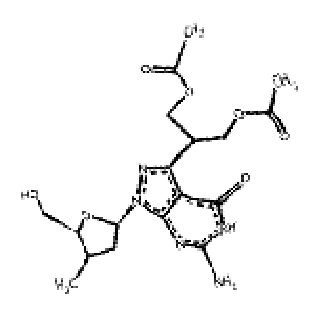 CC(=O)OCC(COC(C)=O)c1nn([C@H]2CC(C)[C@@H](CO)O2)c2nc(N)[nH]c(=O)c12